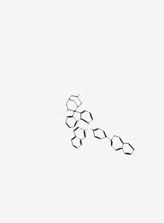 CC1CC2CC(C)C3(c4ccccc4-c4c(N(c5ccc(C6=CC=c7ccccc7=CC6)cc5)c5ccc6ccccc6c5)cccc43)C(C1)C2